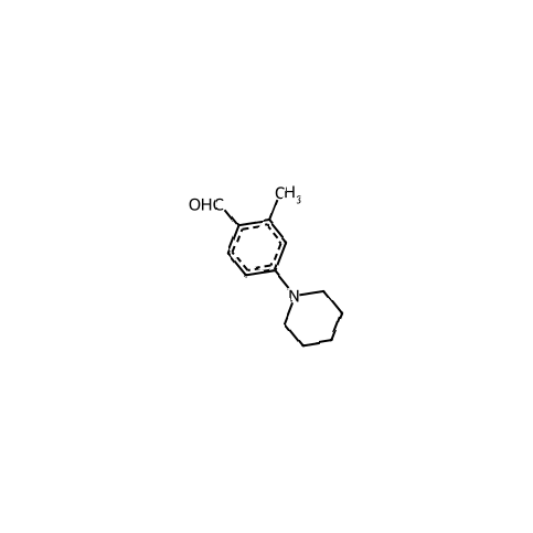 Cc1cc(N2CCCCC2)ccc1C=O